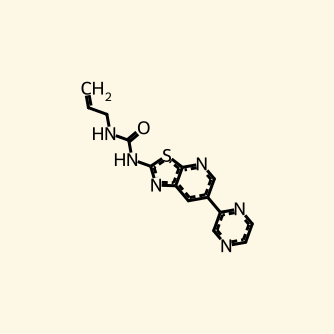 C=CCNC(=O)Nc1nc2cc(-c3cnccn3)cnc2s1